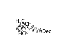 CC=C(C)N(CCCCCCCCCCCCCCCCCC)c1ccccc1.Cl